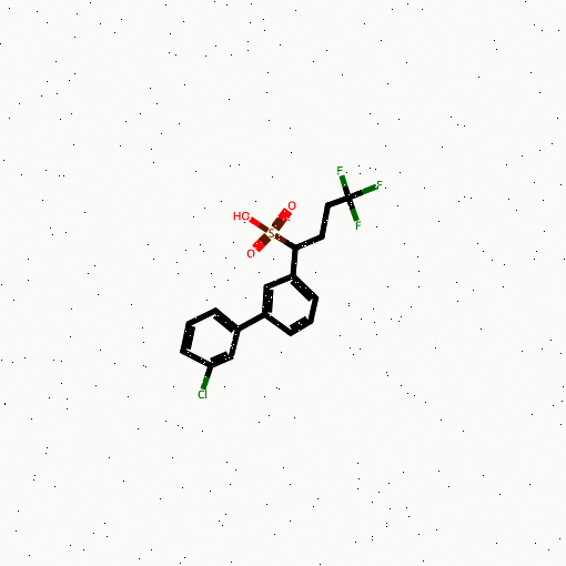 O=S(=O)(O)C(CCC(F)(F)F)c1cccc(-c2cccc(Cl)c2)c1